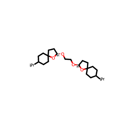 CC(C)C1CCC2(CC1)CC[C@H](OCCO[C@H]1CCC3(CCC(C(C)C)CC3)O1)O2